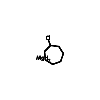 ClC1CCCCCC1.[MgH2]